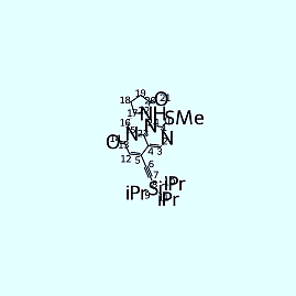 CSc1ncc2c(C#C[Si](C(C)C)(C(C)C)C(C)C)cc(=O)n(C[C@@H]3CCC(=O)N3)c2n1